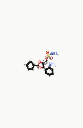 Nc1ccccc1[C@@H]1OC(c2ccccc2)O[C@H]1COS(N)(=O)=O